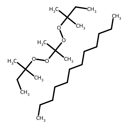 CCC(C)(C)OOC(C)(C)OOC(C)(C)CC.CCCCCCCCCCCC